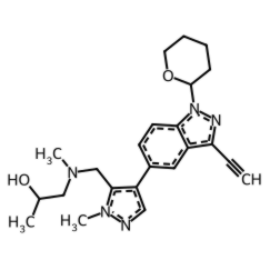 C#Cc1nn(C2CCCCO2)c2ccc(-c3cnn(C)c3CN(C)CC(C)O)cc12